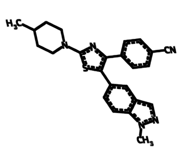 CC1CCN(c2nc(-c3ccc(C#N)cc3)c(-c3ccc4c(cnn4C)c3)s2)CC1